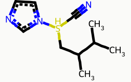 CC(C)C(C)C[SH](C#N)n1ccnc1